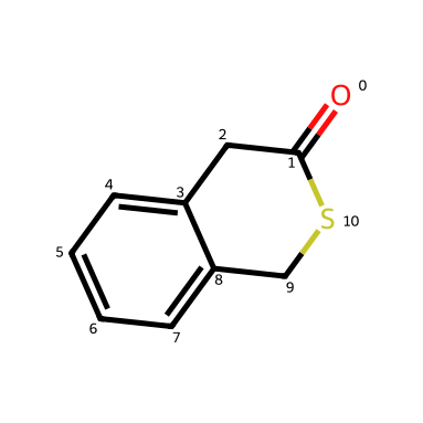 O=C1Cc2ccccc2CS1